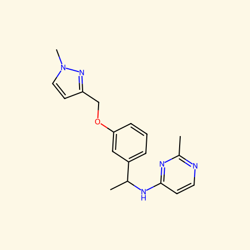 Cc1nccc(NC(C)c2cccc(OCc3ccn(C)n3)c2)n1